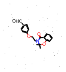 CC1(C)Oc2ccccc2C(=O)N1CCOc1ccc(C=O)cc1